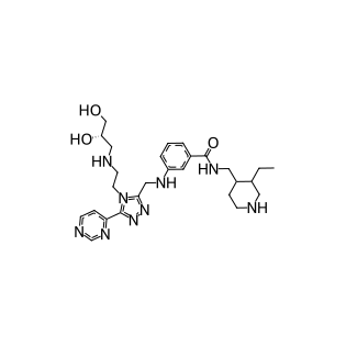 CCC1CNCCC1CNC(=O)c1cccc(NCc2nnc(-c3ccncn3)n2CCNC[C@H](O)CO)c1